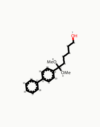 COC(CCCCCO)(OC)c1ccc(-c2ccccc2)cc1